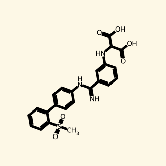 CS(=O)(=O)c1ccccc1-c1ccc(NC(=N)c2cccc(NC(C(=O)O)C(=O)O)c2)cc1